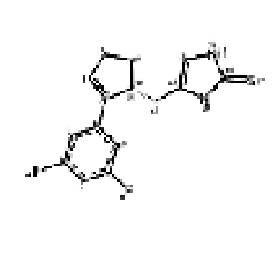 Fc1cc(F)cc(C2=CCC[C@@H]2CC2=CNC(=S)[N]2)c1